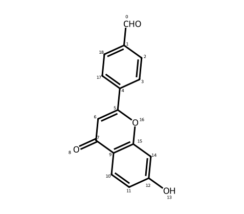 O=Cc1ccc(-c2cc(=O)c3ccc(O)cc3o2)cc1